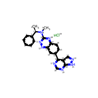 C[C@H](c1ccccc1)N(C)c1nnc2cc(-c3ncnc4[nH]ncc34)ccc2n1.Cl